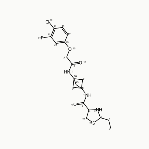 CCC1NC(C(=O)NC23CC(NC(=O)COc4ccc(Cl)c(F)c4)(C2)C3)CS1